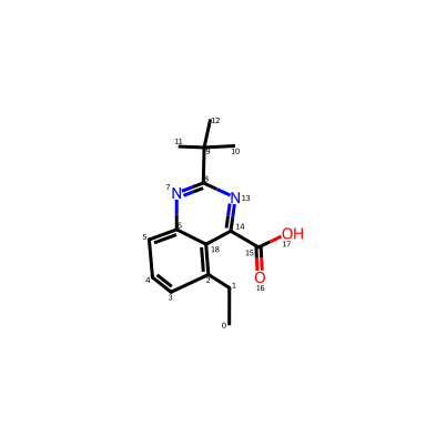 CCc1cccc2nc(C(C)(C)C)nc(C(=O)O)c12